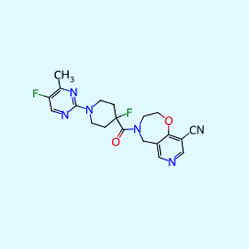 Cc1nc(N2CCC(F)(C(=O)N3CCOc4c(C#N)cncc4C3)CC2)ncc1F